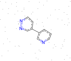 c1cncc(-c2ccnnc2)c1